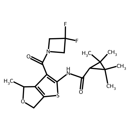 CC1OCc2sc(NC(=O)C3C(C)(C)C3(C)C)c(C(=O)N3CC(F)(F)C3)c21